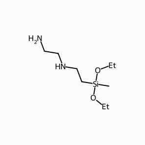 CCO[Si](C)(CCNCCN)OCC